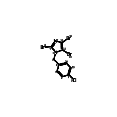 Clc1ccc(Cn2c(Br)nc(Br)c2Br)cc1